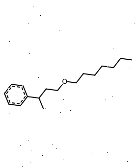 [CH2]C(CCOCCCCCCC)c1ccccc1